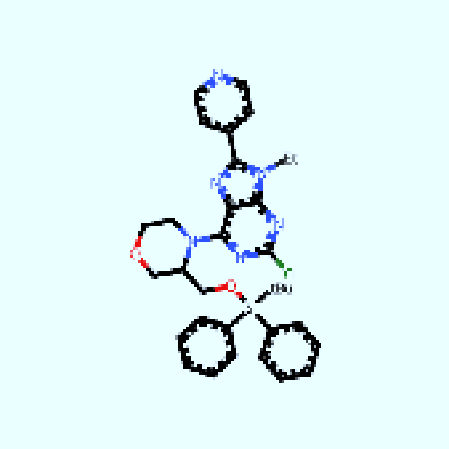 CCn1c(-c2ccncc2)nc2c(N3CCOCC3CO[Si](c3ccccc3)(c3ccccc3)C(C)(C)C)nc(Cl)nc21